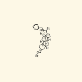 CCOC[C@H]1CC[C@H]2[C@H](CC[C@@H]3[C@@H]2CC[C@]2(C)[C@@H](C(CC)NCc4ccccc4)CC[C@@H]32)C1